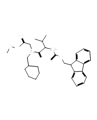 CC(C)C(NC(=O)OCC1c2ccccc2-c2ccccc21)C(=O)N(CC(=O)OSI)CC1CCCCC1